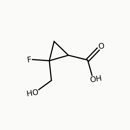 O=C(O)C1CC1(F)CO